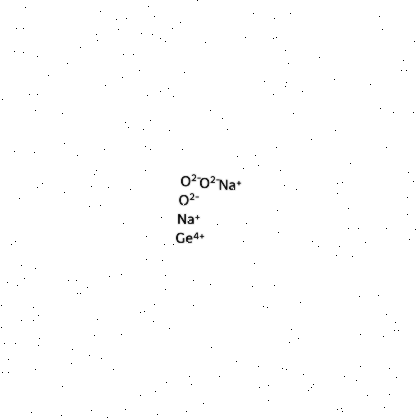 [Ge+4].[Na+].[Na+].[O-2].[O-2].[O-2]